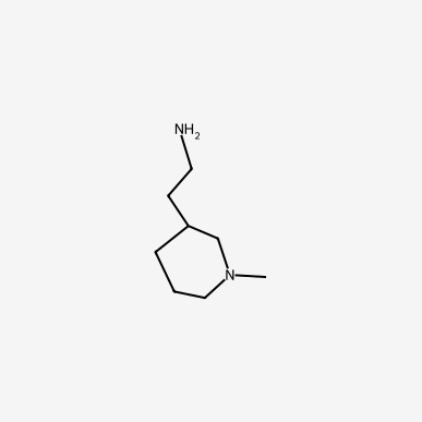 CN1CCCC(CCN)C1